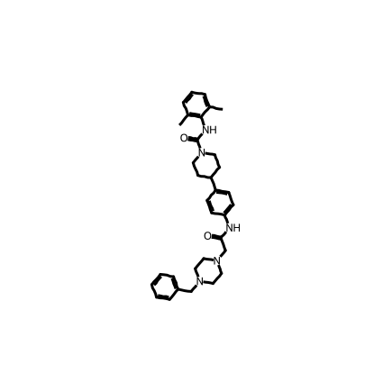 Cc1cccc(C)c1NC(=O)N1CCC(c2ccc(NC(=O)CN3CCN(Cc4ccccc4)CC3)cc2)CC1